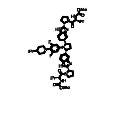 COC(=O)N[C@H](C(=O)N1CCC[C@H]1c1nc2c([nH]1)=CCC([C@H]1CC[C@H](c3ccc4[nH]c([C@@H]5CCCN5C(=O)[C@@H](NC(=O)OC)C(C)C)nc4c3)N1c1cc(F)c(N3CCC(C(C)C)CC3)c(F)c1)C=2)C(C)C